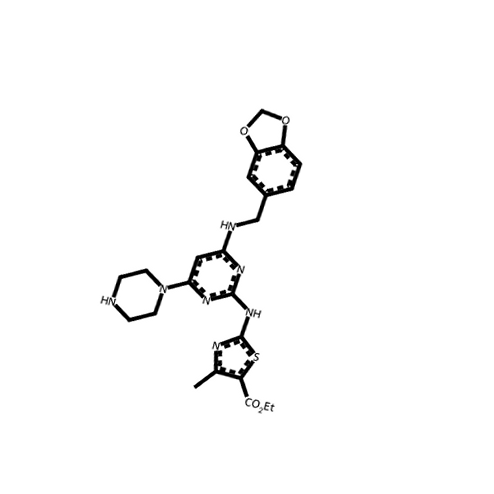 CCOC(=O)c1sc(Nc2nc(NCc3ccc4c(c3)OCO4)cc(N3CCNCC3)n2)nc1C